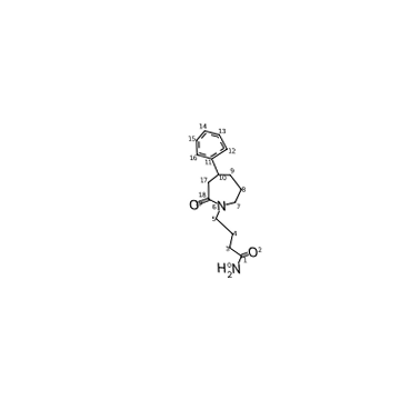 NC(=O)CCCN1CCCC(c2ccccc2)CC1=O